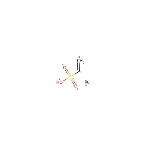 C=CS(=O)(=O)O.[Ru]